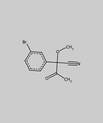 COC(C#N)(C(C)=O)c1cccc(Br)c1